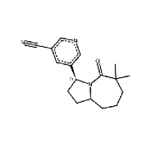 CC1(C)CCCC2CC[C@@H](c3cncc(C#N)c3)N2C1=O